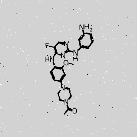 COc1cc(N2CCN(C(C)=O)CC2)ccc1Nc1nc(Nc2cccc(N)c2)ncc1F